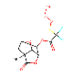 N#CC12CC3OC1C(OC2=O)C3OC(=O)C(F)(F)SOOO